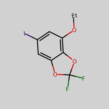 CCOc1cc(I)cc2c1OC(F)(F)O2